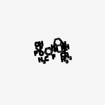 Cc1c(OC(F)(F)CO)ccc(N2CC(C)(C)N[C@@H]3CCCC[C@@H]32)c1F